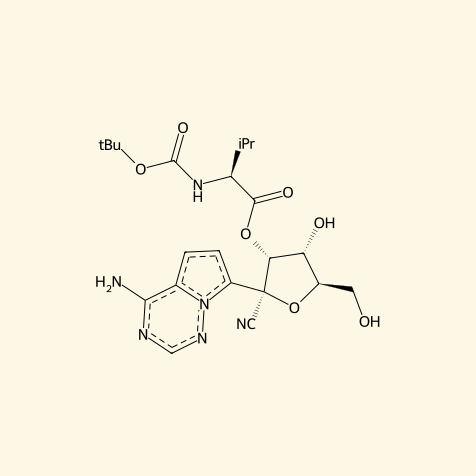 CC(C)[C@H](NC(=O)OC(C)(C)C)C(=O)O[C@@H]1[C@H](O)[C@@H](CO)O[C@@]1(C#N)c1ccc2c(N)ncnn12